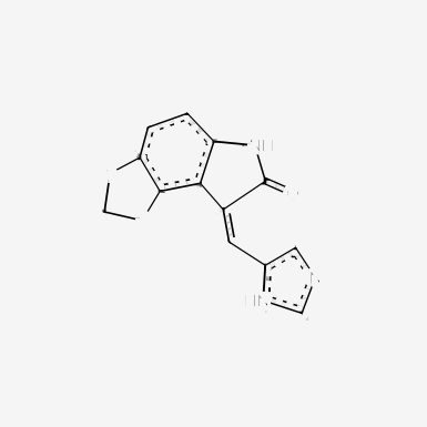 O=C1Nc2ccc3c(c2/C1=C/c1cnc[nH]1)SCS3